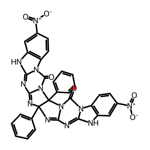 O=C1N2C(=NC3=NC4(c5ccccc5)N=C5N=C6Nc7cc([N+](=O)[O-])ccc7N6C(=O)N5C4(c4ccccc4)N13)Nc1cc([N+](=O)[O-])ccc12